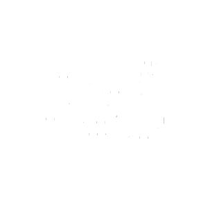 O=C([O-])CC(O)(CC(=O)[O-])C(=O)[O-].O=C([O-])CC(O)(CC(=O)[O-])C(=O)[O-].[Cr+2].[Cr+2].[Cr+2]